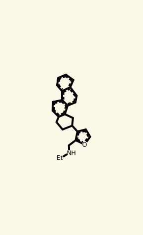 CCNCc1occc1C1CCc2ccc3c(ccc4ccccc43)c2C1